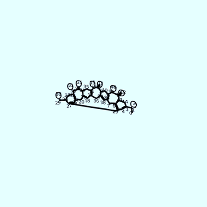 CC(=O)C1=C2C=C3CC4=C(CC5C(=O)C(=O)C6=C(C=C7CC8=C(CC(C=O)C(=C8)C2)C(=O)C(=O)C7C6)CC5=C4)C(=O)C(=O)C3C1